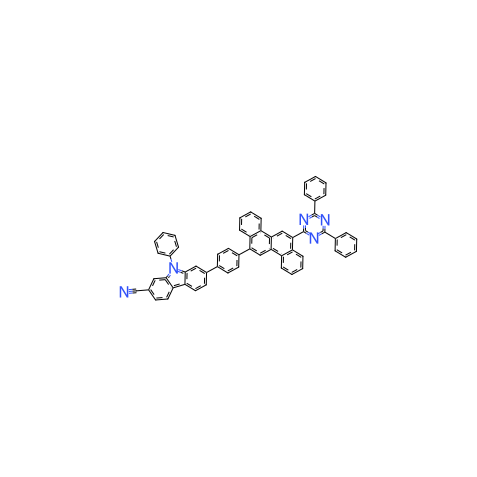 N#Cc1ccc2c3ccc(-c4ccc(-c5cc6c7ccccc7c(-c7nc(-c8ccccc8)nc(-c8ccccc8)n7)cc6c6ccccc56)cc4)cc3n(-c3ccccc3)c2c1